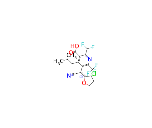 CC(C)Cc1c(C(=O)O)c(C(F)F)nc(C(F)(F)F)c1/C(C#N)=C1/OCCC1Cl